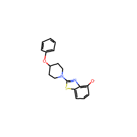 [O]c1cccc2sc(N3CCC(Oc4ccccc4)CC3)nc12